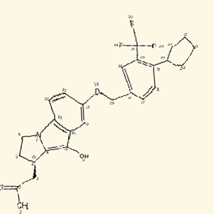 O=C(O)C[C@H]1CCn2c1c(O)c1cc(OCc3ccc(C4CCCC4)c(C(F)(F)F)c3)ccc12